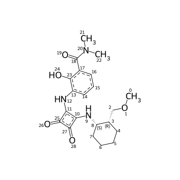 COC[C@@H]1CCCC[C@@H]1Nc1c(Nc2cccc(C(=O)N(C)C)c2O)c(=O)c1=O